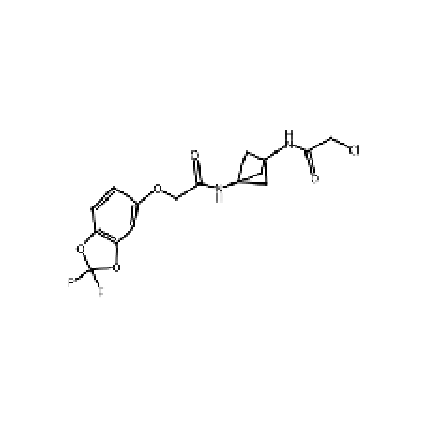 O=C(CCl)NC12CC(NC(=O)COc3ccc4c(c3)OC(F)(F)O4)(C1)C2